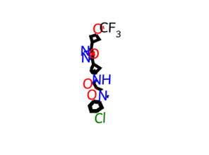 CN1CC(C(=O)NC23CC(c4nnc(C5CC(OC(F)(F)F)C5)o4)(C2)C3)Oc2ccc(Cl)cc21